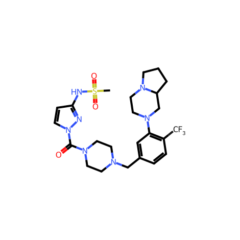 CS(=O)(=O)Nc1ccn(C(=O)N2CCN(Cc3ccc(C(F)(F)F)c(N4CCN5CCCC5C4)c3)CC2)n1